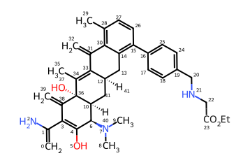 C=C(N)C1=C(O)[C@H](N(C)C)[C@@H]2C[C@@H]3Cc4c(-c5ccc(CNCC(=O)OCC)cc5)ccc(C)c4C(=C)C3=C(C)[C@]2(O)C1=C